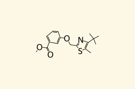 COC(=O)c1cccc(OCc2nc(C(C)(C)C)c(C)s2)c1